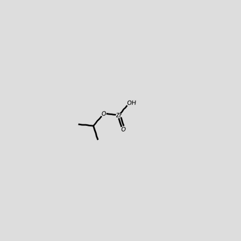 CC(C)[O][Zr](=[O])[OH]